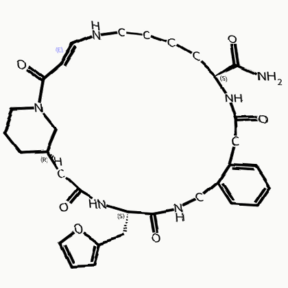 NC(=O)[C@@H]1CCCCN/C=C/C(=O)N2CCC[C@H](CC(=O)N[C@@H](Cc3ccco3)C(=O)NCc3ccccc3CC(=O)N1)C2